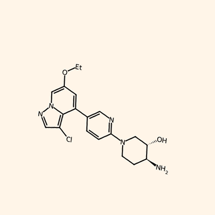 CCOc1cc(-c2ccc(N3CC[C@H](N)[C@@H](O)C3)nc2)c2c(Cl)cnn2c1